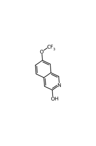 Oc1cc2ccc(OC(F)(F)F)cc2cn1